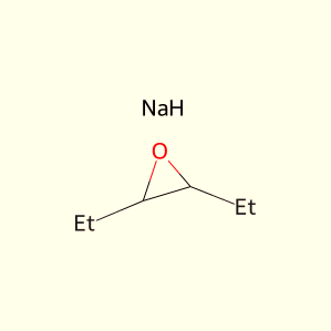 CCC1OC1CC.[NaH]